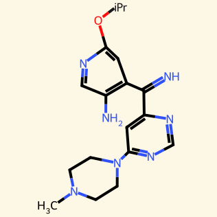 CC(C)Oc1cc(C(=N)c2cc(N3CCN(C)CC3)ncn2)c(N)cn1